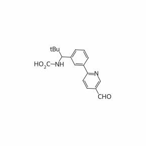 CC(C)(C)C(NC(=O)O)c1cccc(-c2ccc(C=O)cn2)c1